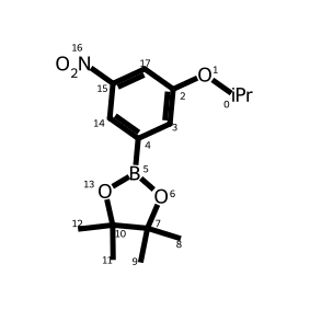 CC(C)Oc1cc(B2OC(C)(C)C(C)(C)O2)cc([N+](=O)[O-])c1